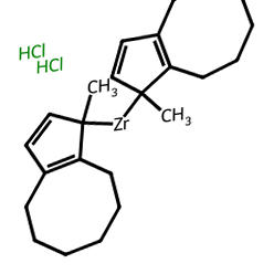 C[C]1([Zr][C]2(C)C=CC3=C2CCCCCC3)C=CC2=C1CCCCCC2.Cl.Cl